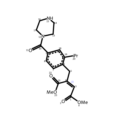 COC(=O)/C=C(/Cc1ccc(C(=O)N2CCNCC2)cc1C(C)C)C(=O)OC